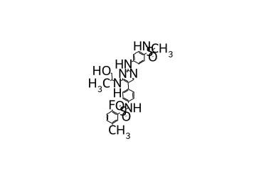 Cc1ccc(F)c(S(=O)(=O)Nc2ccc(-c3cnc(Nc4ccc(S(C)(=N)=O)cc4)nc3NC(C)CO)cc2)c1